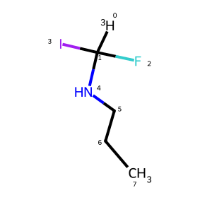 [3H]C(F)(I)NCCC